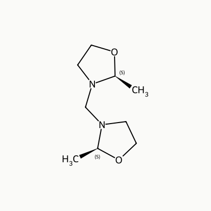 C[C@@H]1OCCN1CN1CCO[C@H]1C